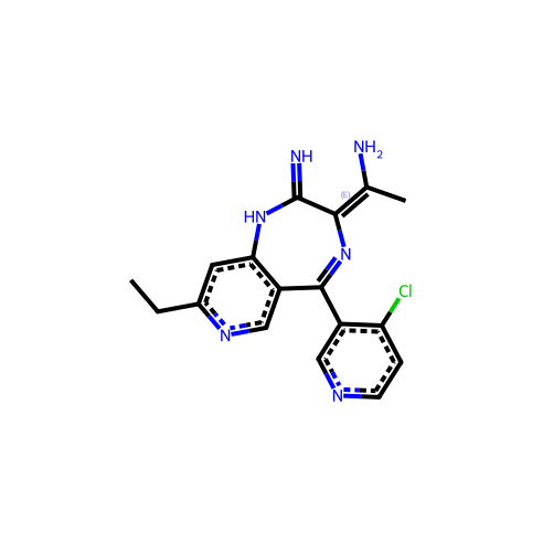 CCc1cc2c(cn1)C(c1cnccc1Cl)=N/C(=C(\C)N)C(=N)N2